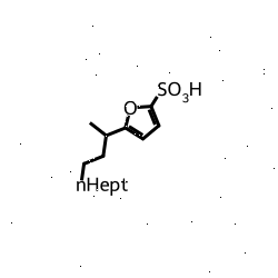 CCCCCCCCCC(C)c1ccc(S(=O)(=O)O)o1